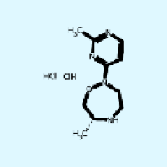 Cc1nccc(N2CCN[C@H](C)CO2)n1.Cl.Cl